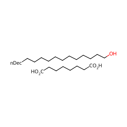 CCCCCCCCCCCCCCCCCCCCCCO.O=C(O)CCCCCCC(=O)O